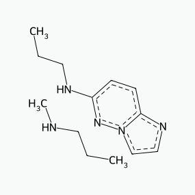 CCCNC.CCCNc1ccc2nccn2n1